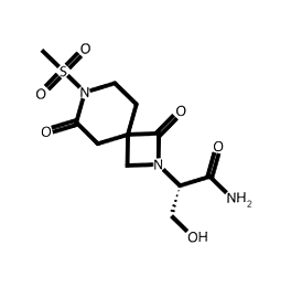 CS(=O)(=O)N1CCC2(CC1=O)CN([C@@H](CO)C(N)=O)C2=O